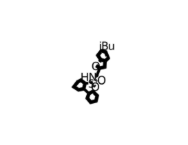 CCC(C)c1ccc2cc(C(=O)N[S+]([O-])c3ccccc3-c3ccccc3)oc2c1